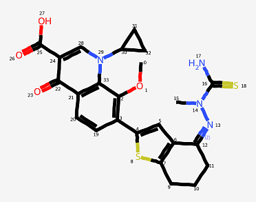 COc1c(-c2cc3c(s2)CCC/C3=N/N(C)C(N)=S)ccc2c(=O)c(C(=O)O)cn(C3CC3)c12